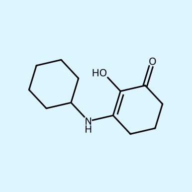 O=C1CCCC(NC2CCCCC2)=C1O